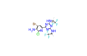 C[C@@H](Nc1nc(N[C@H](C)C(F)(F)F)nc(-c2cc(Br)c(N)c(Cl)n2)n1)C(F)(F)F